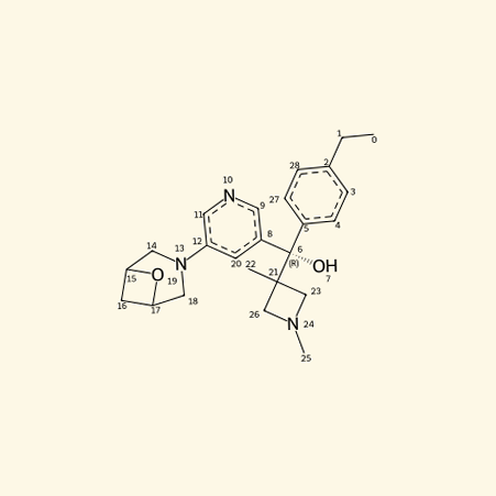 CCc1ccc([C@](O)(c2cncc(N3CC4CC(C3)O4)c2)C2(C)CN(C)C2)cc1